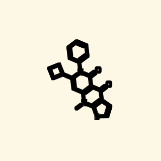 Cn1c2cc(C3CCC3)n(-c3ccccc3)c(=O)c2c(=O)c2ccsc21